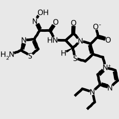 CCN(CC)c1c[n+](CC2=C(C(=O)[O-])N3C(=O)C(NC(=O)/C(=N\O)c4csc(N)n4)[C@H]3SC2)ccn1